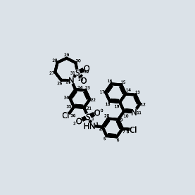 O=S(=O)(Nc1ccc(Cl)c(-c2nccc3ccccc23)c1)c1ccc(N2CCCCCS2(=O)=O)cc1Cl